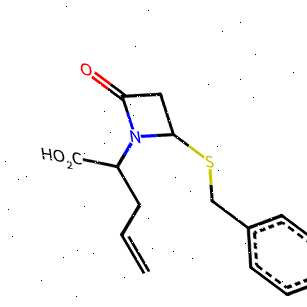 C=CCC(C(=O)O)N1C(=O)CC1SCc1ccccc1